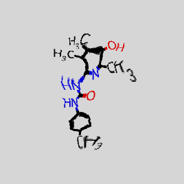 Cc1ccc(NC(=O)Nc2nc(C)c(O)c(C)c2C)cc1